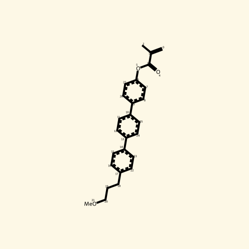 C=C(C)C(=O)Oc1ccc(-c2ccc(-c3ccc(CCCOC)cc3)cc2)cc1